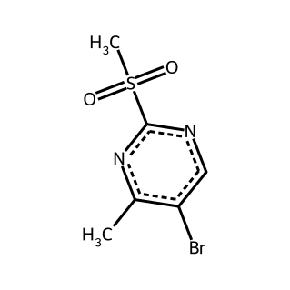 Cc1nc(S(C)(=O)=O)ncc1Br